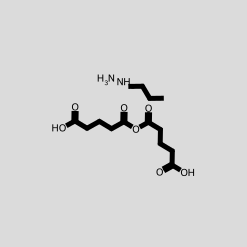 CCCC.N.N.O=C(O)CCCC(=O)OC(=O)CCCC(=O)O